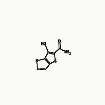 NC(=O)c1sc2ccsc2c1O